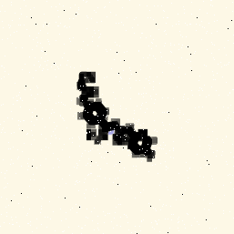 N#CCNSc1ccc(/C(N)=C/N(N)Cc2ccc(F)cn2)cc1